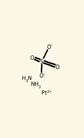 N.N.O=S(=O)([O-])[O-].[Pt+2]